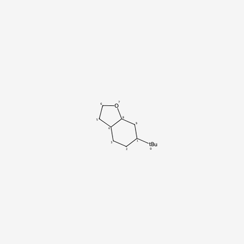 CC(C)(C)C1CCC2CCOC2C1